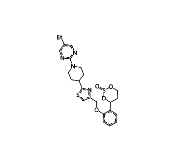 CCc1cnc(N2CCC(c3nc(COc4ccccc4C4CCOS(=O)O4)cs3)CC2)nc1